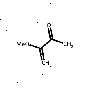 C=C(OC)C(C)=O